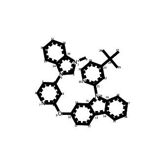 C[n+]1cn(-c2ccnc(Oc3ccc4c5ccccc5n(-c5cc(C(C)(C)C)ccn5)c4c3)c2)c2ccccc21